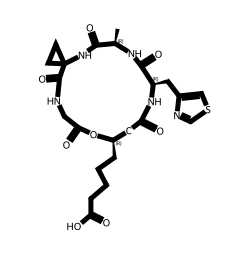 C[C@H]1NC(=O)[C@@H](Cc2cscn2)NC(=O)C[C@@H](CCCCC(=O)O)OC(=O)CNC(=O)C2(CC2)NC1=O